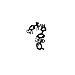 CC1CCCN(S(=O)(=O)c2ccc(-c3cccc(NC(=O)C4(c5ccc6c(c5)OCO6)CC4)c3)cc2)C1